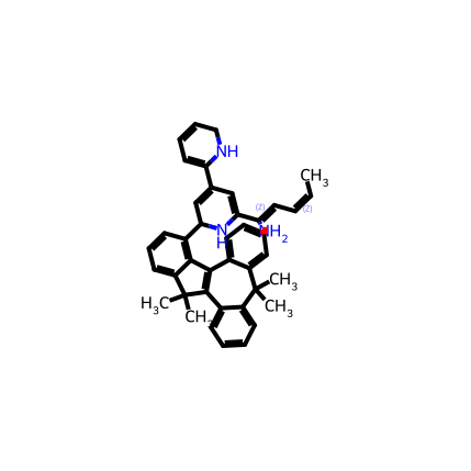 C/C=C\C=C(/N)C1=CC(C2=CC=CCN2)=CC(c2cccc3c2C2=C(c4ccccc4C(C)(C)c4ccccc42)C3(C)C)N1